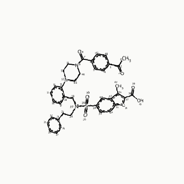 CC(=O)c1ccc(C(=O)N2CCN(c3ccccc3CN(CCc3ccccc3)S(=O)(=O)c3ccc4oc(C(=O)O)c(C)c4c3)CC2)cc1